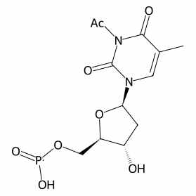 CC(=O)n1c(=O)c(C)cn([C@H]2C[C@H](O)[C@@H](CO[P](=O)O)O2)c1=O